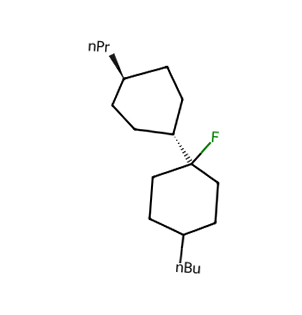 CCCCC1CCC(F)([C@H]2CC[C@H](CCC)CC2)CC1